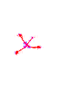 CC(=O)N[C@H]1[C@H]2OC[C@](COCCOCCOCCOCCn3cc(COCC(COCc4cn(CCOCCOCCOCCOC[C@@]56CO[C@@H](O5)[C@H](NC(C)=O)[C@@H](O)[C@H]6O)nn4)(COCc4cn(CCOCCOCCOCCOC[C@@]56CO[C@@H](O5)[C@H](NC(C)=O)[C@@H](O)[C@H]6O)nn4)NC(=O)CCCCCNC(=O)CCCCCNC(=O)O)nn3)(O2)[C@H](O)[C@@H]1O